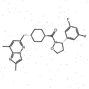 Cc1cn2nc(C[C@H]3CC[C@H](C(=O)N4OCC[C@H]4c4cc(F)cc(F)c4)CC3)cc(C)c2n1